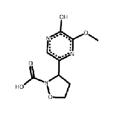 COc1nc(C2CCON2C(=O)O)cnc1O